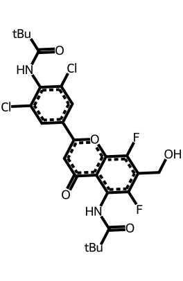 CC(C)(C)C(=O)Nc1c(Cl)cc(-c2cc(=O)c3c(NC(=O)C(C)(C)C)c(F)c(CO)c(F)c3o2)cc1Cl